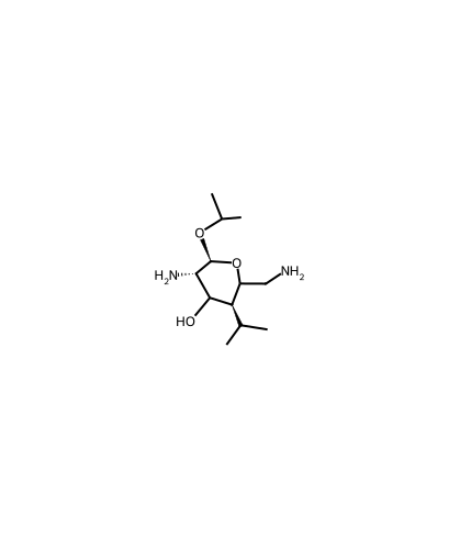 CC(C)O[C@H]1OC(CN)[C@@H](C(C)C)C(O)[C@@H]1N